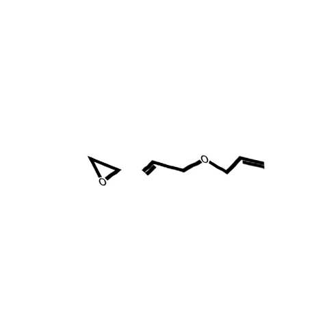 C1CO1.C=CCOCC=C